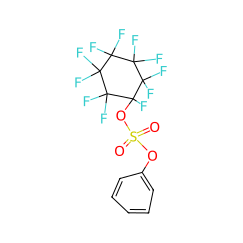 O=S(=O)(Oc1ccccc1)OC1(F)C(F)(F)C(F)(F)C(F)(F)C(F)(F)C1(F)F